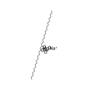 CCCCCCCCCCCCCCCCCC(CCCCCCCCCCCCCCCC)OS(=O)(=O)[O-].O.[Na+]